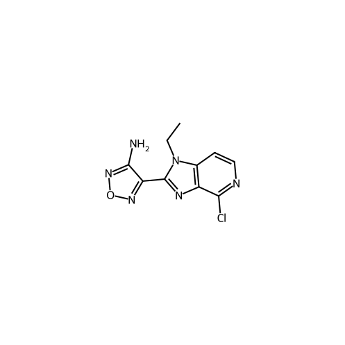 CCn1c(-c2nonc2N)nc2c(Cl)nccc21